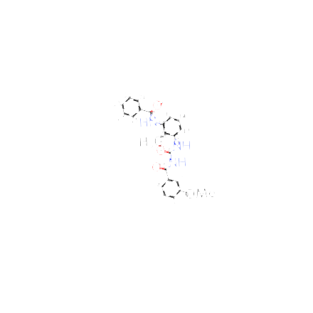 COc1cccc(C(=O)NC(=O)Nc2cccc(NC(=O)c3ccccc3)c2C)c1